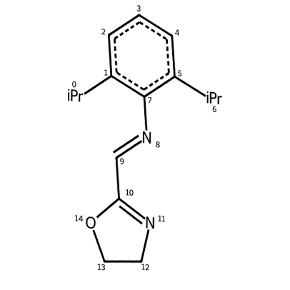 CC(C)c1cccc(C(C)C)c1/N=C/C1=NCCO1